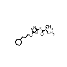 CN(C)C(=O)Sc1nsc(OCCCC2CCCCC2)n1